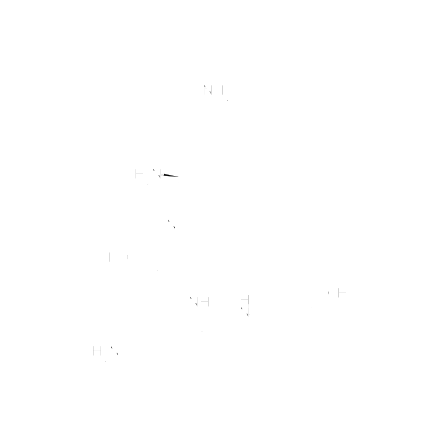 CCCCNC[C@H](CCCN)NCC(C)CNC[C@@H](N)CCCN